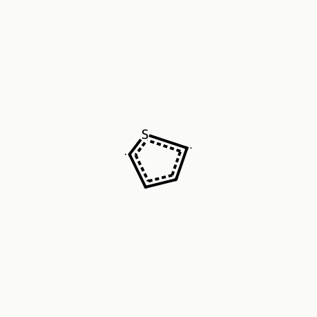 [c]1cc[c]s1